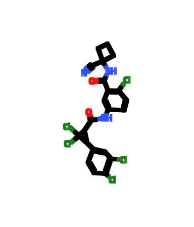 N#CC1(NC(=O)c2cc(NC(=O)C3C(c4ccc(Cl)c(Cl)c4)C3(Cl)Cl)ccc2Cl)CCC1